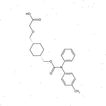 Cc1ccc(N(C(=O)OC[C@H]2CC[C@@H](COCC(=O)O)CC2)c2ccccc2)cc1